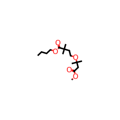 CCCCOC(=O)C(C)(C)CCOC(C)(C)CC(=O)OC